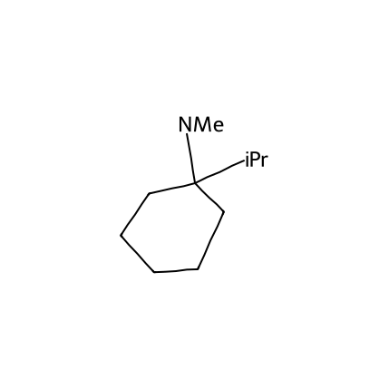 CNC1(C(C)C)CCCCC1